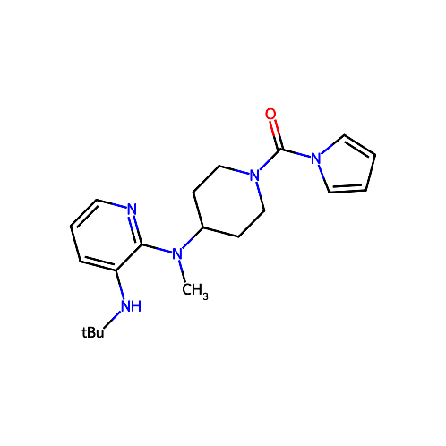 CN(c1ncccc1NC(C)(C)C)C1CCN(C(=O)n2cccc2)CC1